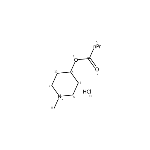 CCCC(=O)OC1CCN(C)CC1.Cl